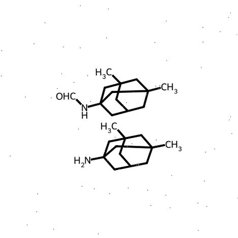 CC12CC3CC(C)(C1)CC(N)(C3)C2.CC12CC3CC(C)(C1)CC(NC=O)(C3)C2